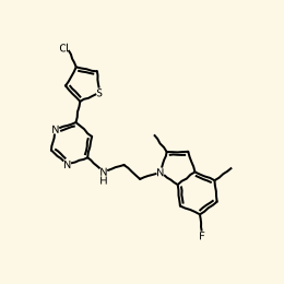 Cc1cc(F)cc2c1cc(C)n2CCNc1cc(-c2cc(Cl)cs2)ncn1